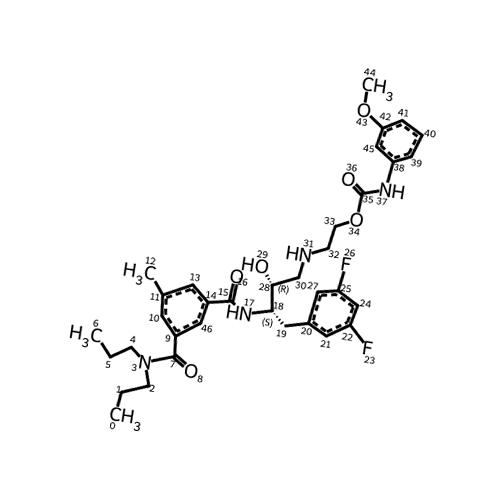 CCCN(CCC)C(=O)c1cc(C)cc(C(=O)N[C@@H](Cc2cc(F)cc(F)c2)[C@H](O)CNCCOC(=O)Nc2cccc(OC)c2)c1